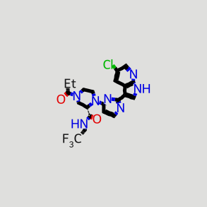 CCC(=O)N1CCN(c2ccnc(-c3c[nH]c4ncc(Cl)cc34)n2)[C@H](C(=O)NCC(F)(F)F)C1